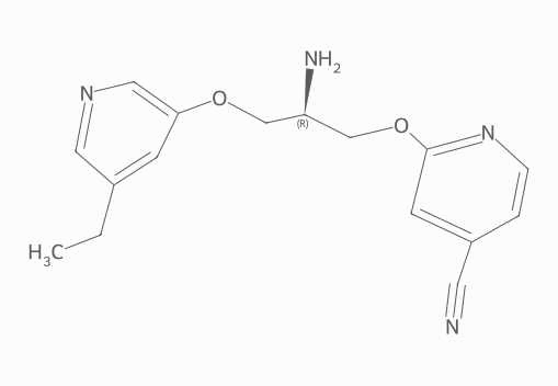 CCc1cncc(OC[C@@H](N)COc2cc(C#N)ccn2)c1